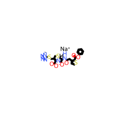 Cn1nnnc1SCC1=C(C(=O)[O-])N2C(=O)C(NC(=O)Cc3ccsc3C(=O)Oc3ccccc3)[C@H]2SC1.[Na+]